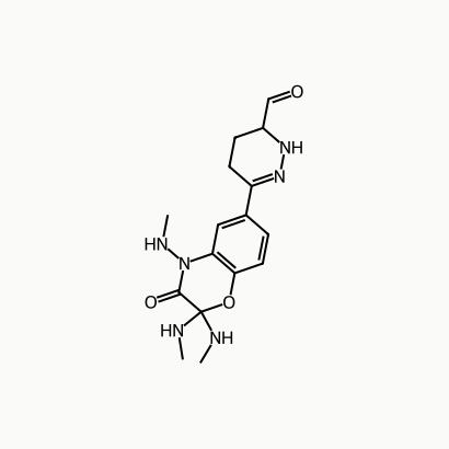 CNN1C(=O)C(NC)(NC)Oc2ccc(C3=NNC(C=O)CC3)cc21